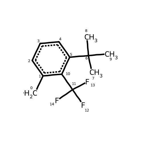 [CH2]c1cccc(C(C)(C)C)c1C(F)(F)F